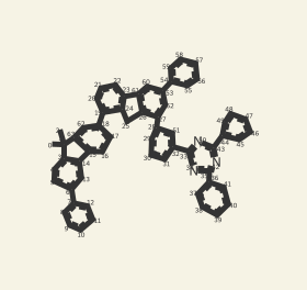 CC1(C)c2ccc(-c3ccccc3)cc2-c2ccc(-c3cccc4c3Cc3c(-c5cccc(-c6nc(-c7ccccc7)nc(-c7ccccc7)n6)c5)cc(-c5ccccc5)cc3-4)cc21